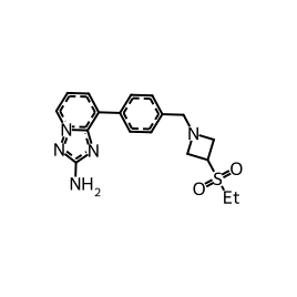 CCS(=O)(=O)C1CN(Cc2ccc(-c3cccn4nc(N)nc34)cc2)C1